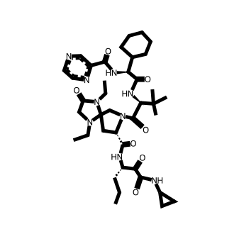 CCC[C@H](NC(=O)[C@@H]1CC2(CN1C(=O)[C@@H](NC(=O)[C@@H](NC(=O)c1cnccn1)C1CCCCC1)C(C)(C)C)N(CC)CC(=O)N2CC)C(=O)C(=O)NC1CC1